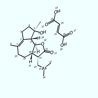 CC1=C2CC[C@@](C)(O)[C@@H]2[C@H]2OC(=O)[C@H](C[As](C)C)[C@@H]2CC1.O=C(O)/C=C/C(=O)O